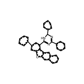 c1ccc(C2=NC(c3ccccc3)NC(c3cc(-c4ccccc4)cc4oc5cc6ccccc6cc5c34)=N2)cc1